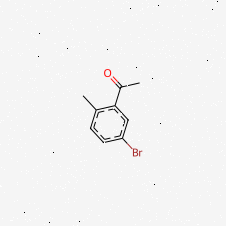 CC(=O)c1cc(Br)ccc1C